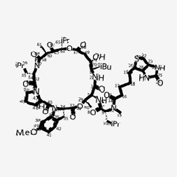 CC[C@H](C)C1NC(=O)[C@@H](NC(=O)[C@@H](CC(C)C)N(C)C(=O)CCCCC2SCC3NC(=O)NC32)[C@@H](C)OC(=O)[C@H](Cc2ccc(OC)cc2)N(C)C(=O)[C@@H]2CCCN2C(=O)[C@H](CC(C)C)NC(=O)[C@@H](C)C(=O)[C@H](C(C)C)OC(=O)C[C@@H]1O